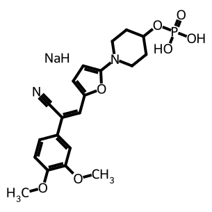 COc1ccc(C(C#N)=Cc2ccc(N3CCC(OP(=O)(O)O)CC3)o2)cc1OC.[NaH]